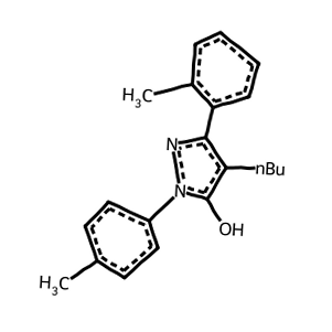 CCCCc1c(-c2ccccc2C)nn(-c2ccc(C)cc2)c1O